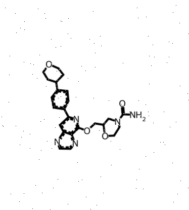 NC(=O)N1CCOC(COc2nc(-c3ccc(C4CCOCC4)cc3)cc3nccnc23)C1